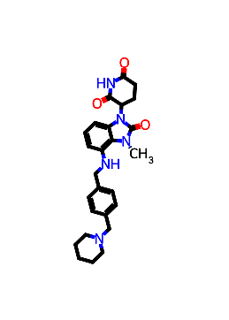 Cn1c(=O)n(C2CCC(=O)NC2=O)c2cccc(NCc3ccc(CN4CCCCC4)cc3)c21